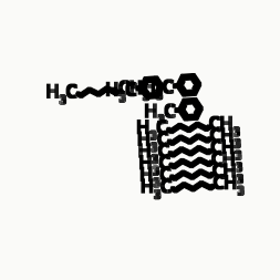 CCCCCCC.CCCCCCC.CCCCCCC.CCCCCCC.CCCCCCC.CCCCCCC.CCCCCCC.Cc1ccccc1.Cc1ccccc1.Cc1ccccc1